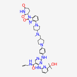 C=CCNC(=O)c1cnc(Nc2ccc(N3CCC(CN(C)C4CCN(c5cccc6c5n(C)c(=O)n6C5CCC(=O)NC5=O)CC4)CC3)cc2)nc1Nc1cccc(C(C)(C)O)n1